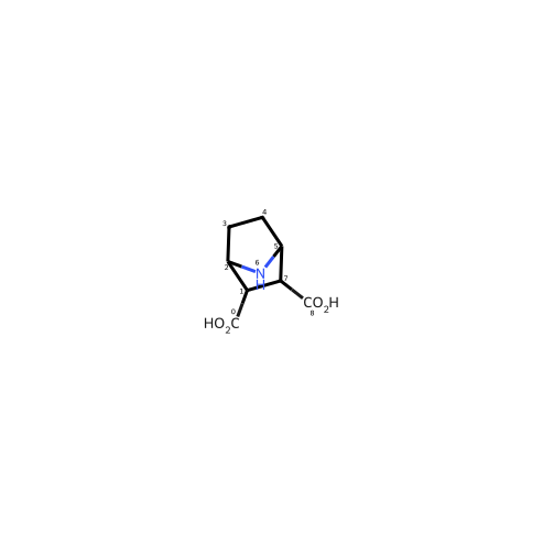 O=C(O)C1C2CCC(N2)C1C(=O)O